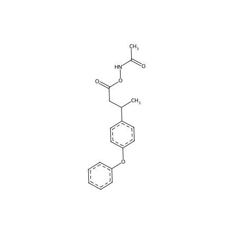 CC(=O)NOC(=O)CC(C)c1ccc(Oc2ccccc2)cc1